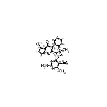 Cc1nc(N)nc(N2CC(C)(C)C2c2nn3ccc(Cl)c3c(=O)n2-c2ccccc2)c1C#N